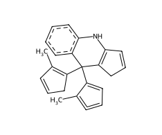 CC1=C=CC=C1C1(C2=C(C)C=CC2)C2=C(C=CC2)Nc2ccccc21